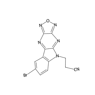 N#CCCn1c2ccc(Br)cc2c2nc3nonc3nc21